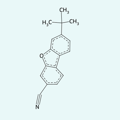 CC(C)(C)c1ccc2c(c1)oc1cc(C#N)ccc12